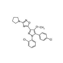 COc1c(-c2nc(N3CCCC3)no2)nn(-c2ccccc2Cl)c1-c1ccc(Cl)cc1